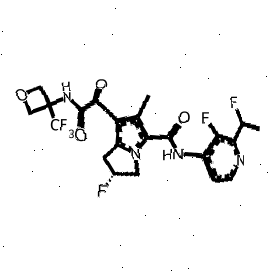 Cc1c(C(=O)C(=O)NC2(C(F)(F)F)COC2)c2n(c1C(=O)Nc1ccnc(C(C)F)c1F)C[C@H](F)C2